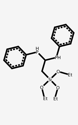 CCO[Si](CC(Pc1ccccc1)Pc1ccccc1)(OCC)OCC